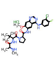 CNC(C)C(=O)NC(C(=O)N1CCCC1C(=O)Nc1cc2c(Nc3ccc(F)c(Cl)c3)ncnc2cc1OC)C(C)(C)C.Cl